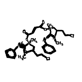 CN1C(=Nc2ccccc2)[N+](C)(OC(=O)/C=C/C(=O)O[N+]2(C)CC(CCCl)N(C)C2=Nc2ccccc2)CC1CCCl